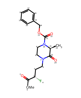 COC(=O)[C@@H](F)CCN1CCN(C(=O)OCc2ccccc2)[C@@H](C)C1=O